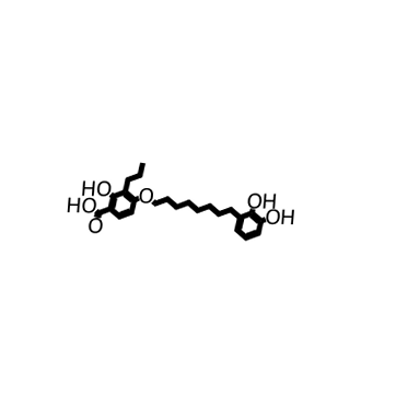 CCCc1c(OCCCCCCCCc2cccc(O)c2O)ccc(C(=O)O)c1O